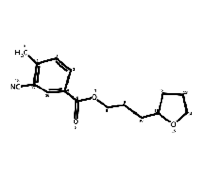 Cc1ccc(C(=O)OCCCC2CCCO2)cc1C#N